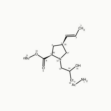 CC(N)=O.CC=C[C@@H]1C[C@H](C(=O)OCCCC)N(CC(O)CC)C1